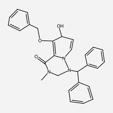 CN1CN(C(c2ccccc2)c2ccccc2)N2C=CC(O)C(OCc3ccccc3)=C2C1=O